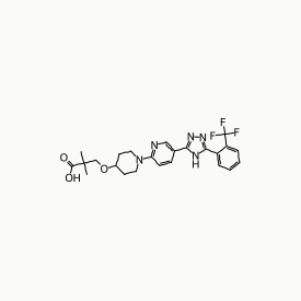 CC(C)(COC1CCN(c2ccc(-c3nnc(-c4ccccc4C(F)(F)F)[nH]3)cn2)CC1)C(=O)O